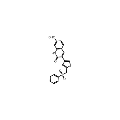 O=Cc1ccc2cc(-c3csc(CS(=O)(=O)c4ccccc4)n3)c(=O)[nH]c2c1